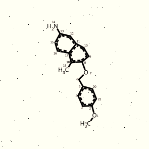 COc1ccc(COc2ccc3cc(N)ccc3c2C)cc1